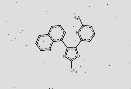 Cc1cccc(-c2oc(C)nc2-c2cccc3cccnc23)n1